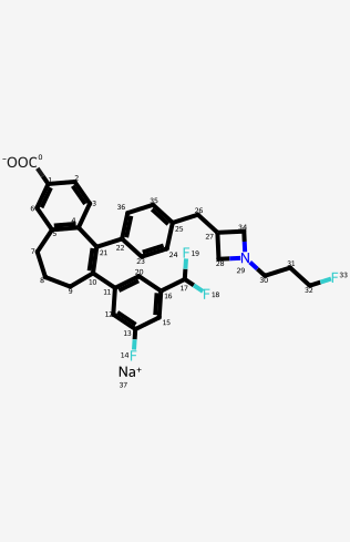 O=C([O-])c1ccc2c(c1)CCCC(c1cc(F)cc(C(F)F)c1)=C2c1ccc(CC2CN(CCCF)C2)cc1.[Na+]